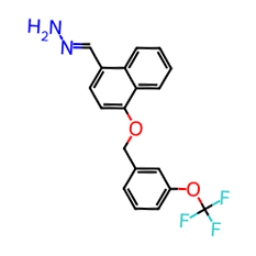 NN=Cc1ccc(OCc2cccc(OC(F)(F)F)c2)c2ccccc12